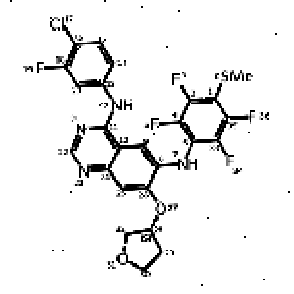 CSc1c(F)c(F)c(Nc2cc3c(Nc4ccc(Cl)c(F)c4)ncnc3cc2O[C@H]2CCOC2)c(F)c1F